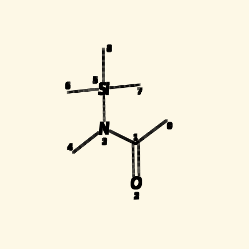 CC(=O)N(C)[Si](C)(C)C